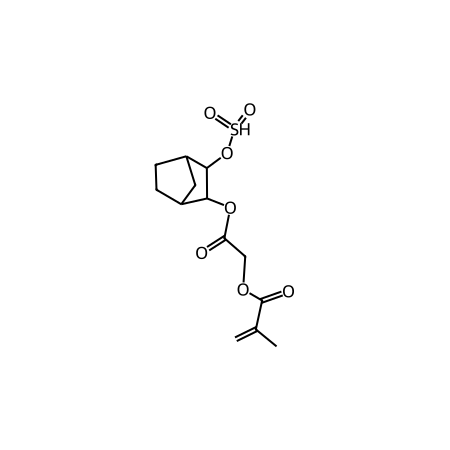 C=C(C)C(=O)OCC(=O)OC1C2CCC(C2)C1O[SH](=O)=O